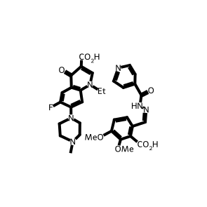 CCn1cc(C(=O)O)c(=O)c2cc(F)c(N3CCN(C)CC3)cc21.COc1ccc(/C=N\NC(=O)c2ccncc2)c(C(=O)O)c1OC